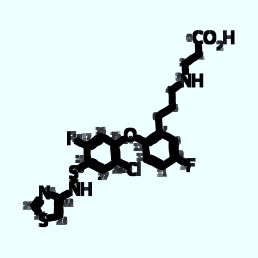 O=C(O)CCNCCCc1cc(F)ccc1Oc1cc(F)c(SNc2cscn2)cc1Cl